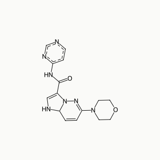 O=C(Nc1ccncn1)C1=CNC2C=CC(N3CCOCC3)=NN12